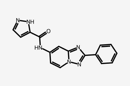 O=C(Nc1ccn2nc(-c3ccccc3)nc2c1)c1ccn[nH]1